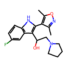 Cc1noc(C)c1-c1[nH]c2ccc(F)cc2c1C(O)CN1CCCC1